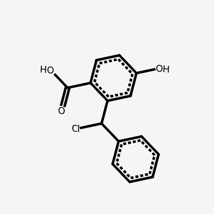 O=C(O)c1ccc(O)cc1C(Cl)c1ccccc1